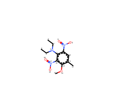 CCN(CC)c1c([N+](=O)[O-])cc(C)c(OC)c1[N+](=O)[O-]